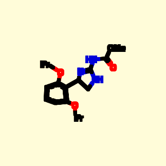 COC(=O)NC1=NC(c2c(OC(C)C)cccc2OC(C)C)CN1